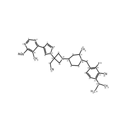 CNc1ncnc(-c2cnn(C3(CC#N)CN(C4CCN(Cc5ccc(N(C)C)c(C#N)c5F)C(C)C4)C3)c2)c1C